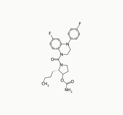 CCCC[C@H]1C(OC(N)=O)CCN1C(=O)N1CCN(c2ccc(F)cc2)c2cc(F)ccc21